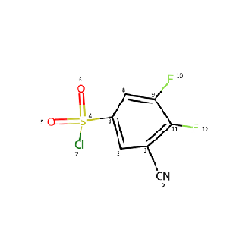 N#Cc1cc(S(=O)(=O)Cl)cc(F)c1F